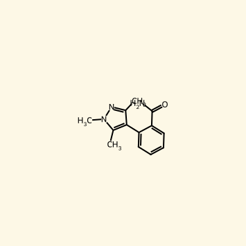 Cc1nn(C)c(C)c1-c1ccccc1C(N)=O